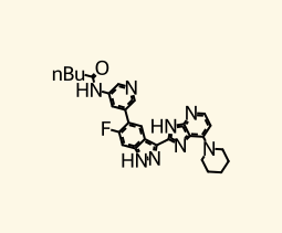 CCCCC(=O)Nc1cncc(-c2cc3c(-c4nc5c(N6CCCCC6)ccnc5[nH]4)n[nH]c3cc2F)c1